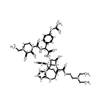 CCN(CC)CCOC(=O)C1=C2CSc3nnnn3C(N=[N+]=[N-])(C2)C2[C@H](NC(=O)C(NC(=O)N3CCN(CC)C(=O)C3=O)c3ccc(OC(C)=O)cc3)C(=O)N12